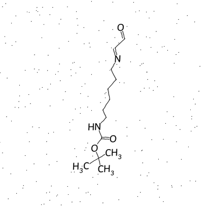 CC(C)(C)OC(=O)NCCCCCCN=CC=O